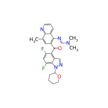 Cc1cc(C(=O)c2c(F)cc(F)c3c2cnn3C2CCCCO2)c(N=CN(C)C)c2cccnc12